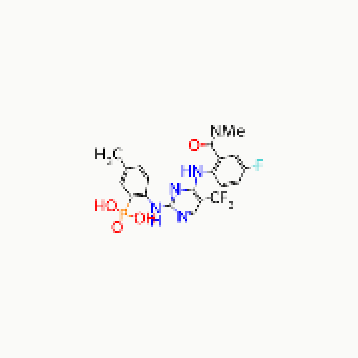 CNC(=O)c1cc(F)ccc1Nc1nc(Nc2ccc(C)cc2P(=O)(O)O)ncc1C(F)(F)F